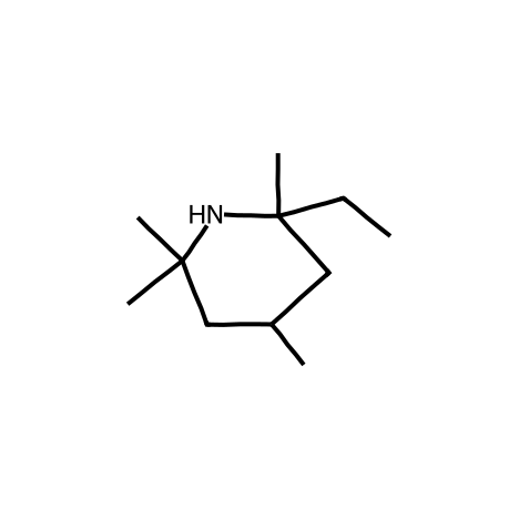 CCC1(C)CC(C)CC(C)(C)N1